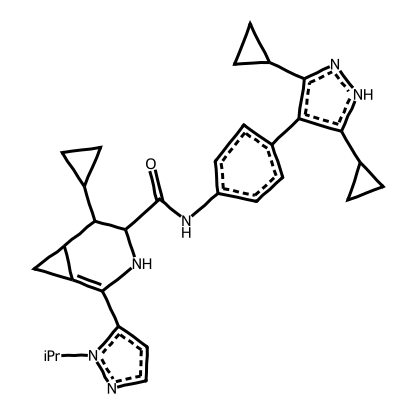 CC(C)n1nccc1C1=C2CC2C(C2CC2)C(C(=O)Nc2ccc(-c3c(C4CC4)n[nH]c3C3CC3)cc2)N1